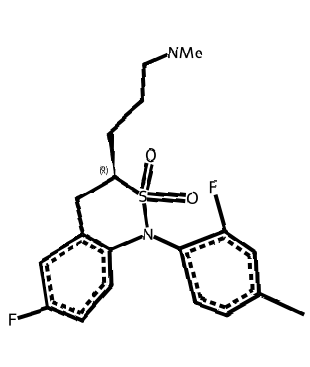 CNCCC[C@@H]1Cc2cc(F)ccc2N(c2ccc(C)cc2F)S1(=O)=O